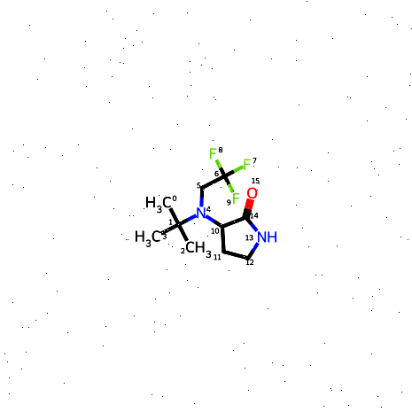 CC(C)(C)N(CC(F)(F)F)C1CCNC1=O